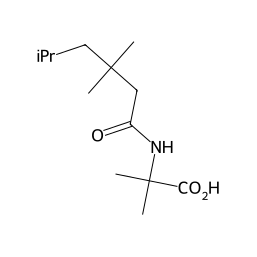 CC(C)CC(C)(C)CC(=O)NC(C)(C)C(=O)O